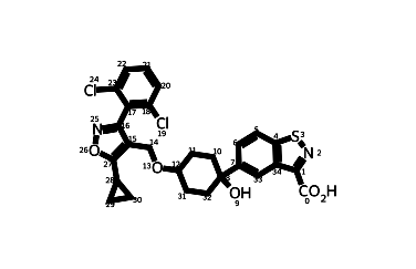 O=C(O)c1nsc2ccc(C3(O)CCC(OCc4c(-c5c(Cl)cccc5Cl)noc4C4CC4)CC3)cc12